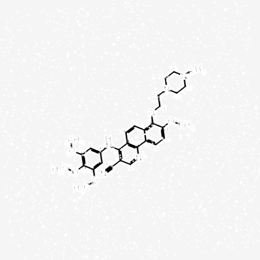 COc1cc(Nc2c(C#N)cnc3c2ccc2c(OCCN4CCN(C)CC4)c(OC)ccc23)cc(OC)c1OC